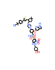 CC1(C)CCC(CN2CCN(c3ccc(C(=O)NS(=O)(=O)c4ccc(NCC5CCC(C)(O)CC5)c([N+](=O)[O-])c4)c(Oc4cnc5[nH]ccc5c4)c3)CC2)=C(c2cc(-c3ccc(C(C)(C)C#N)cc3)cs2)C1